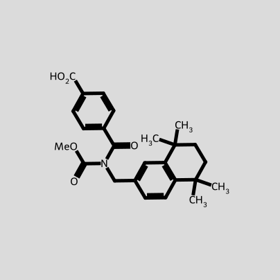 COC(=O)N(Cc1ccc2c(c1)C(C)(C)CCC2(C)C)C(=O)c1ccc(C(=O)O)cc1